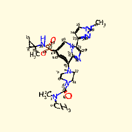 CN(C)C(=O)N1CCN(c2cc(S(=O)(=O)NC3(C)CC3)cn3c(-c4ccn(C)n4)cnc23)CC1